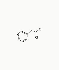 ClC(Cl)Cc1[c]cccc1